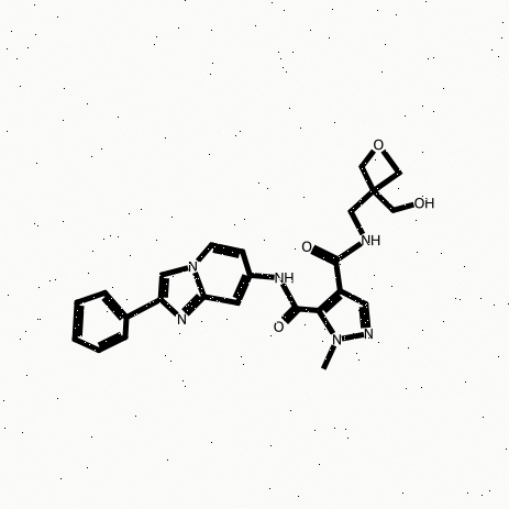 Cn1ncc(C(=O)NCC2(CO)COC2)c1C(=O)Nc1ccn2cc(-c3ccccc3)nc2c1